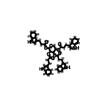 O=C(CCc1c[nH]c2ccccc12)OC1COC(OC(=O)CCc2c[nH]c3ccccc23)C(OC(=O)CCc2c[nH]c3ccccc23)C1OC(=O)CCc1c[nH]c2ccccc12